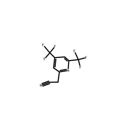 N#CCc1cc(C(F)(F)F)cc(C(F)(F)F)n1